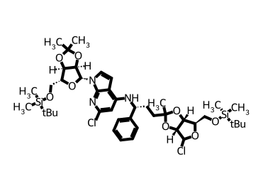 CC1(C)O[C@@H]2[C@H](O1)[C@@H](CO[Si](C)(C)C(C)(C)C)O[C@H]2n1ccc2c(N[C@H](CCC3(C)O[C@@H]4[C@@H](CO[Si](C)(C)C(C)(C)C)OC(Cl)[C@@H]4O3)c3ccccc3)cc(Cl)nc21